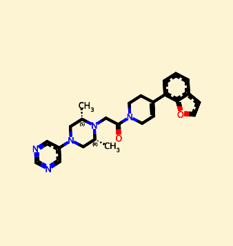 C[C@@H]1CN(c2cncnc2)C[C@H](C)N1CC(=O)N1CC=C(c2cccc3ccoc23)CC1